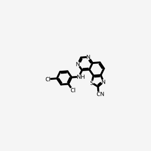 N#Cc1nc2ccc3ncnc(Nc4ccc(Cl)cc4Cl)c3c2s1